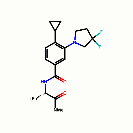 CNC(=O)[C@@H](NC(=O)c1ccc(C2CC2)c(N2CCC(F)(F)C2)c1)C(C)(C)C